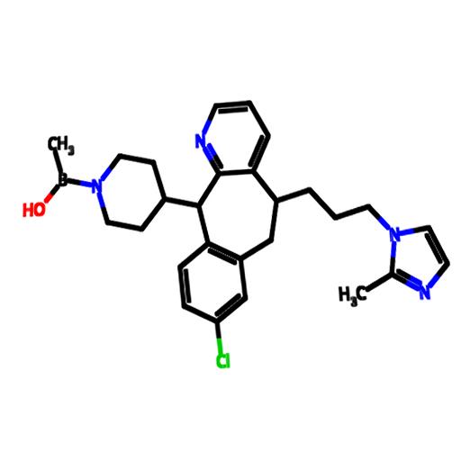 CB(O)N1CCC(C2c3ccc(Cl)cc3CC(CCCn3ccnc3C)c3cccnc32)CC1